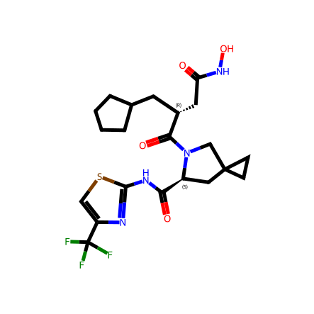 O=C(C[C@@H](CC1CCCC1)C(=O)N1CC2(CC2)C[C@H]1C(=O)Nc1nc(C(F)(F)F)cs1)NO